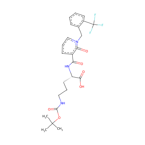 CC(C)(C)OC(=O)NCCC[C@H](NC(=O)c1cccn(Cc2ccccc2C(F)(F)F)c1=O)C(=O)O